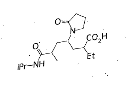 CCC(CC(CC(C)C(=O)NC(C)C)N1CCCC1=O)C(=O)O